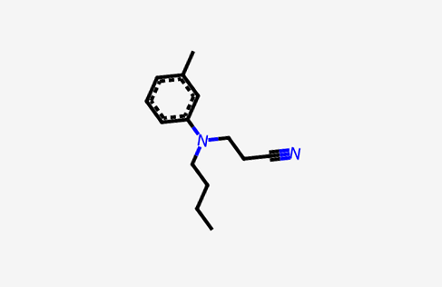 CCCCN(CCC#N)c1cccc(C)c1